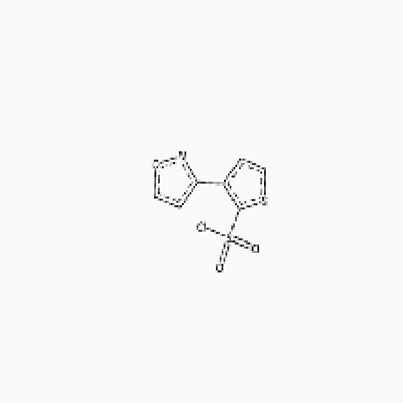 O=S(=O)(Cl)c1sccc1-c1ccon1